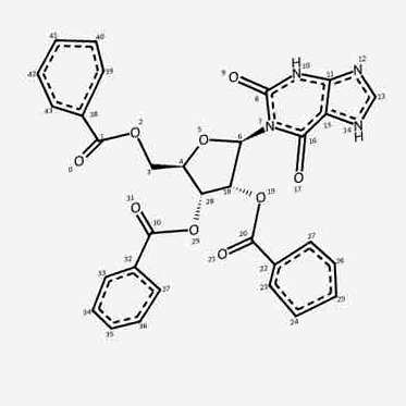 O=C(OC[C@H]1O[C@@H](n2c(=O)[nH]c3nc[nH]c3c2=O)[C@H](OC(=O)c2ccccc2)[C@@H]1OC(=O)c1ccccc1)c1ccccc1